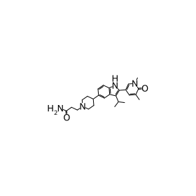 Cc1cc(-c2[nH]c3ccc(C4CCN(CCC(N)=O)CC4)cc3c2C(C)C)cn(C)c1=O